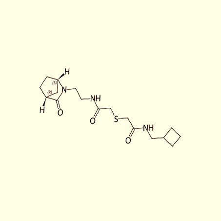 O=C(CSCC(=O)NCC1CCC1)NCCN1C(=O)[C@@H]2CC[C@H]1C2